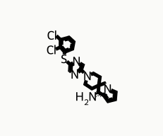 N[C@@H]1c2cccn2CC12CCN(c1cnc(Sc3cccc(Cl)c3Cl)cn1)CC2